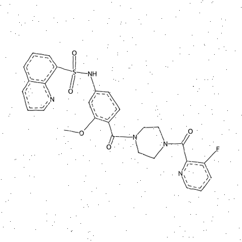 COc1cc(NS(=O)(=O)c2cccc3cccnc23)ccc1C(=O)N1CCN(C(=O)c2ncccc2F)CC1